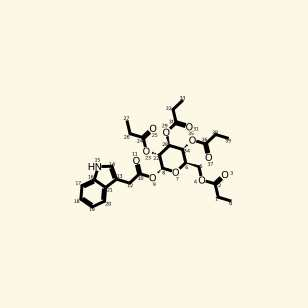 CCC(=O)OC[C@H]1O[C@H](OC(=O)Cc2c[nH]c3ccccc23)[C@H](OC(=O)CC)[C@@H](OC(=O)CC)[C@@H]1OC(=O)CC